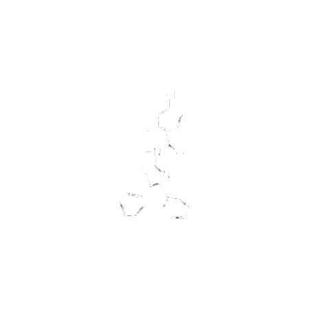 O=C(Nc1nc(-c2ccccc2)c(-c2ccccc2)o1)c1ccc(Cl)cc1Cl